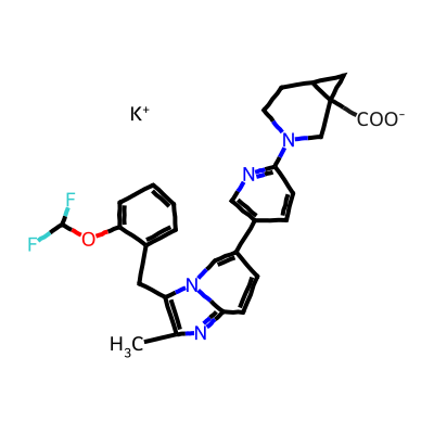 Cc1nc2ccc(-c3ccc(N4CCC5CC5(C(=O)[O-])C4)nc3)cn2c1Cc1ccccc1OC(F)F.[K+]